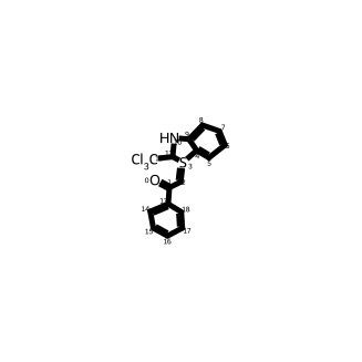 O=C(C=S1c2ccccc2NC1C(Cl)(Cl)Cl)c1ccccc1